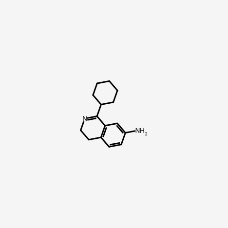 Nc1ccc2c(c1)C(C1CCCCC1)=NCC2